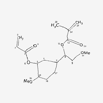 C=CC(=O)OC1CC(C(COC)OC(=O)C(=C)C)CCC1OC